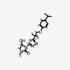 CC(C)c1ccc(OCC(C)(C)c2nnc(N3C(=O)N(C)CC3O)s2)cc1